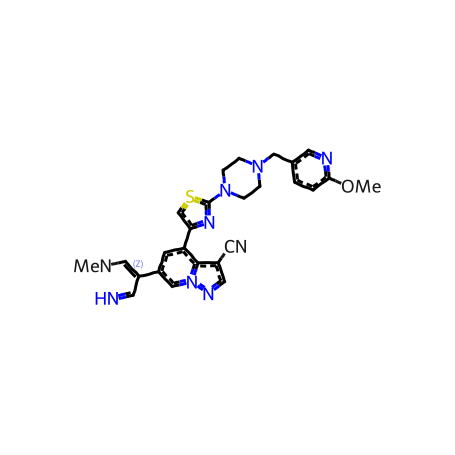 CN/C=C(\C=N)c1cc(-c2csc(N3CCN(Cc4ccc(OC)nc4)CC3)n2)c2c(C#N)cnn2c1